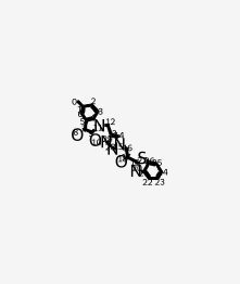 Cc1ccc2c(c1)C(=O)C(=O)N2Cc1cn(CC(=O)c2nc3ccccc3s2)nn1